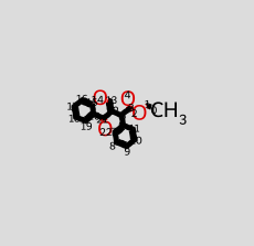 CCOC(=O)C(c1ccccc1)c1coc2ccccc2c1=O